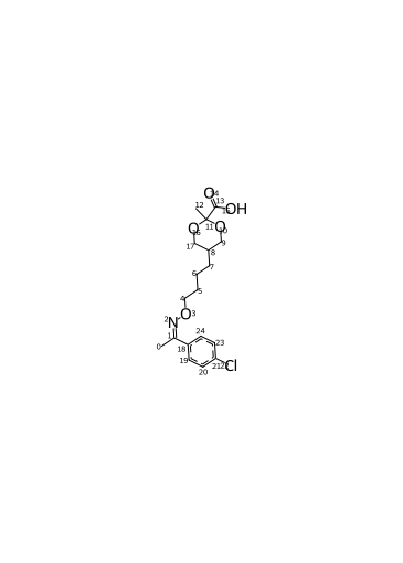 CC(=NOCCCCC1COC(C)(C(=O)O)OC1)c1ccc(Cl)cc1